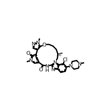 C[C@@H]1CCCOc2c(cnn2C)-c2cc(cn(C)c2=O)C(=O)Nc2nc3ccc(N4CCN(C)CC4)c(Cl)c3n2C1